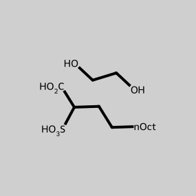 CCCCCCCCCCC(C(=O)O)S(=O)(=O)O.OCCO